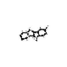 Ic1ccc2[nH]c3c(nc4ccccn43)c2c1